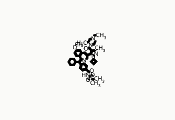 CCN1CCN(C(=O)c2c(C)nn(C3CCC3)c2C2=Cc3cc(OC)ccc3-c3c(C4CCCCC4)c4ccc(C(=O)NS(=O)(=O)C(C)C)cc4n3C2)C(C)C1